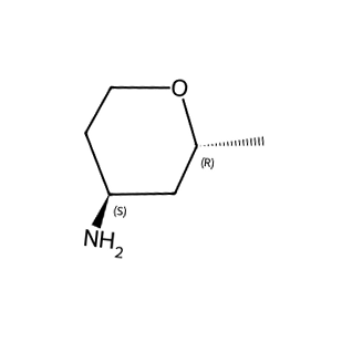 C[C@@H]1C[C@@H](N)CCO1